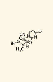 CC(C)[C@H]1O[C@]2(C#N)[C@@H](Oc3nc(=O)ccn32)[C@@H]1C